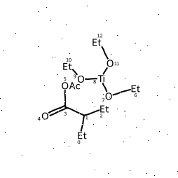 CCC(CC)C(=O)OC(C)=O.CC[O][Ti]([O]CC)[O]CC